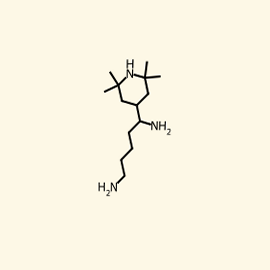 CC1(C)CC(C(N)CCCCN)CC(C)(C)N1